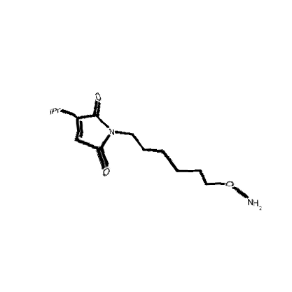 CC(C)C1=CC(=O)N(CCCCCCON)C1=O